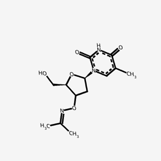 CC(C)=NOC1C[C@H](n2cc(C)c(=O)[nH]c2=O)O[C@@H]1CO